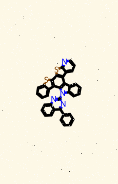 c1ccc(-c2nc(-n3c4ccccc4c4c5c6cccnc6sc5c5sc6ccccc6c5c43)nc3ccccc23)cc1